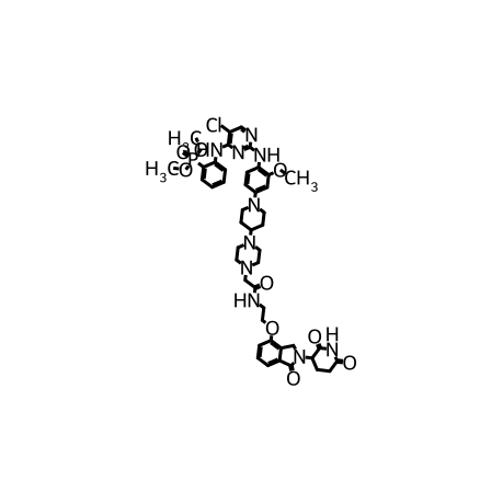 COc1cc(N2CCC(N3CCN(CC(=O)NCCOc4cccc5c4CN(C4CCC(=O)NC4=O)C5=O)CC3)CC2)ccc1Nc1ncc(Cl)c(Nc2ccccc2P(=O)(OC)OC)n1